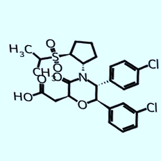 CC(C)S(=O)(=O)[C@H]1CCC[C@@H]1N1C(=O)[C@H](CC(=O)O)O[C@H](c2cccc(Cl)c2)[C@H]1c1ccc(Cl)cc1